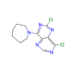 Clc1nc(N2CCCCCC2)c2ncnc(Cl)c2n1